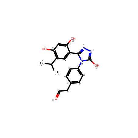 CC(C)c1cc(-c2nnc(O)n2-c2ccc(C[C]=O)cc2)c(O)cc1O